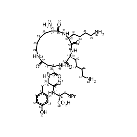 CC(C)C[C@H](NC(=O)[C@H](Cc1ccc(O)cc1)NC(=O)[C@@H]1CC(=O)NCCCC[C@H](N)C(=O)N[C@@H](CCCCN)C(=O)N[C@@H](CCCCN)C(=O)N1)C(=O)O